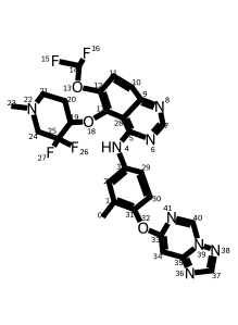 Cc1cc(Nc2ncnc3ccc(OC(F)F)c(OC4CCN(C)CC4(F)F)c23)ccc1Oc1cc2ncnn2cn1